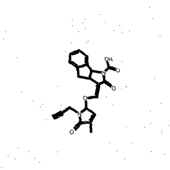 C#CCN1C(=O)C(C)=CC1OC=C1C(=O)N(C(=O)O)C2c3ccccc3CC12